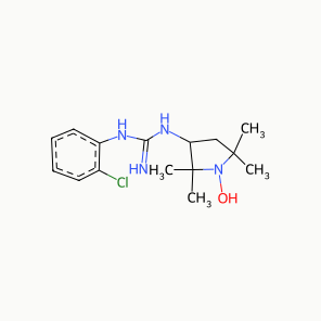 CC1(C)CC(NC(=N)Nc2ccccc2Cl)C(C)(C)N1O